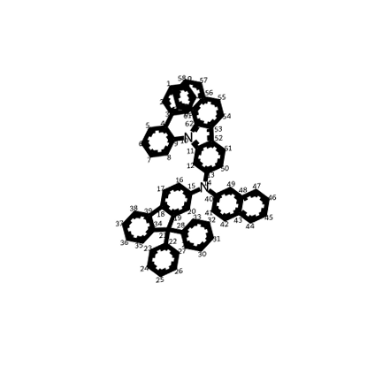 c1ccc(-c2ccccc2-n2c3cc(N(c4ccc5c(c4)C(c4ccccc4)(c4ccccc4)c4ccccc4-5)c4ccc5ccccc5c4)ccc3c3ccc4ccccc4c32)cc1